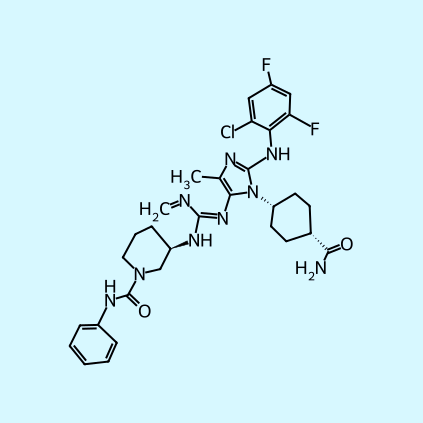 C=N/C(=N\c1c(C)nc(Nc2c(F)cc(F)cc2Cl)n1[C@H]1CC[C@@H](C(N)=O)CC1)N[C@@H]1CCCN(C(=O)Nc2ccccc2)C1